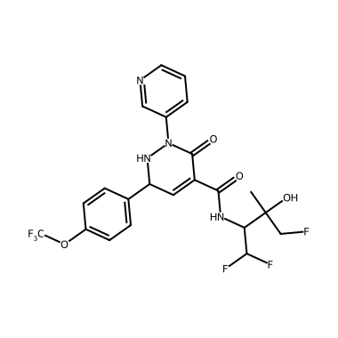 CC(O)(CF)C(NC(=O)C1=CC(c2ccc(OC(F)(F)F)cc2)NN(c2cccnc2)C1=O)C(F)F